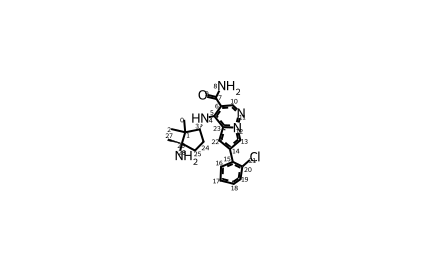 CC1(C)[C@H](Nc2c(C(N)=O)cnn3cc(-c4ccccc4Cl)cc23)CC[C@]1(C)N